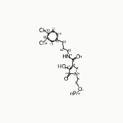 CCCOCCN1CC(C(=O)NCCCc2ccc(Cl)c(Cl)c2)=C(O)C1=O